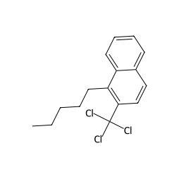 CCCCCc1c(C(Cl)(Cl)Cl)ccc2ccccc12